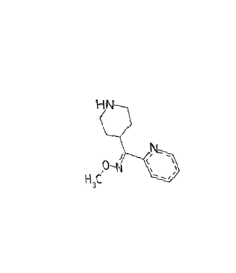 CON=C(c1ccccn1)C1CCNCC1